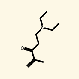 C=C(C)C(=O)CCN(CC)CC